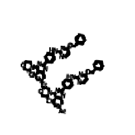 CC(=O)N1CCc2c(nc(-c3ccc(Nc4nccc(OCc5ccccc5)n4)cc3)nc2N2CCOC[C@@H]2C)C1.CCN1CCc2c(nc(-c3ccc(Nc4nccc(OCc5ccccc5)n4)cc3)nc2N2CCOC[C@@H]2C)C1